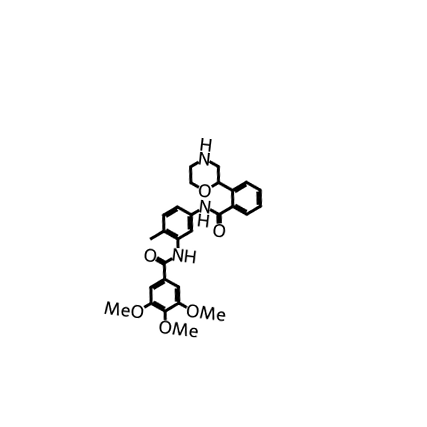 COc1cc(C(=O)Nc2cc(NC(=O)c3ccccc3C3CNCCO3)ccc2C)cc(OC)c1OC